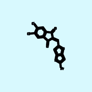 CC(C)c1cc2oc(C=C3C(=O)c4cc(Cl)c(Cl)cc4C3=O)cc2s1